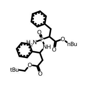 CCCCOC(=O)C(Cc1ccccc1)P(N)(=O)NC(CC(=O)OCC(C)(C)C)c1ccccc1